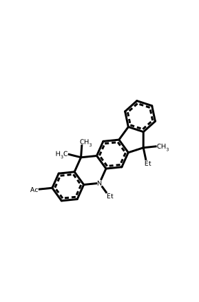 CCN1c2ccc(C(C)=O)cc2C(C)(C)c2cc3c(cc21)C(C)(CC)c1ccccc1-3